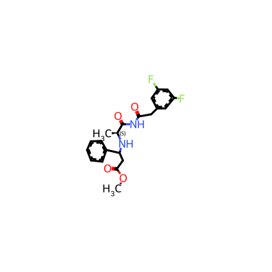 COC(=O)CC(N[C@@H](C)C(=O)NC(=O)Cc1cc(F)cc(F)c1)c1ccccc1